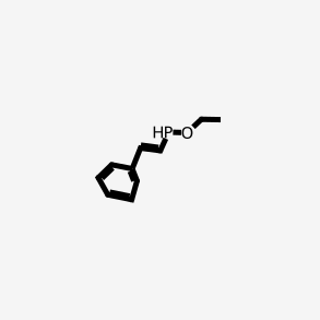 CCOPC=Cc1ccccc1